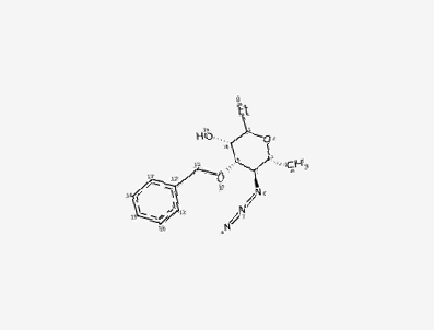 CC[C]1O[C@H](C)[C@@H](N=[N+]=[N-])[C@H](OCc2ccccc2)[C@@H]1O